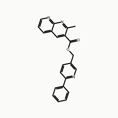 Cc1nc2ncccc2cc1C(=O)OCc1ccc(-c2ccccc2)nc1